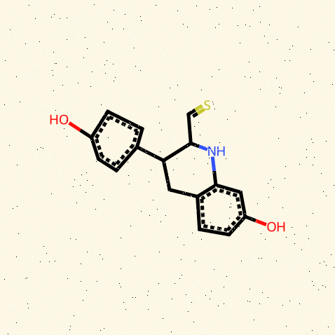 Oc1ccc(C2Cc3ccc(O)cc3NC2C=S)cc1